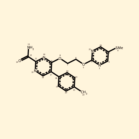 CSc1cnc(OCCOc2nc(C(N)=O)n[c]c2-c2ccc(C)cc2)nc1